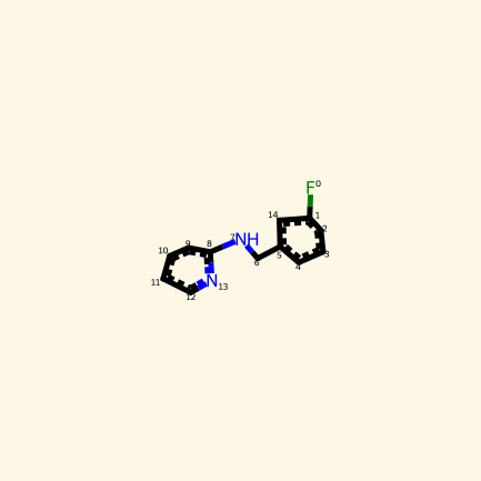 Fc1cccc(CNc2ccccn2)c1